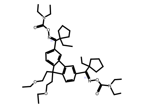 CCOCCC1(CCOCC)c2ccc(/C(=N/OC(=O)N(CC)CC)C3(CC)CCCC3)cc2-c2cc(/C(=N/OC(=O)N(CC)CC)C3(CC)CCCC3)ccc21